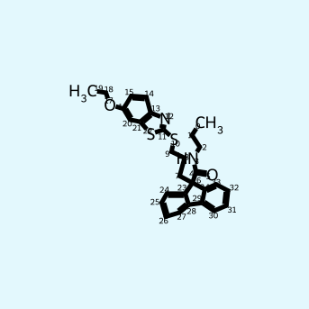 CCCNC(=O)C1(CCCSc2nc3ccc(OCC)cc3s2)c2ccccc2-c2ccccc21